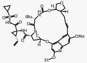 C=C[C@@H]1C[C@]1(NC(=O)[C@@H]1C[C@@H]2CN1C(=O)[C@H](C(C)(C)C)NC(=O)O[C@H]1COC[C@@H]1C/C=C/c1cc3c(cc(OCC)nc3cc1OC)O2)C(=O)NS(=O)(=O)C1CC1